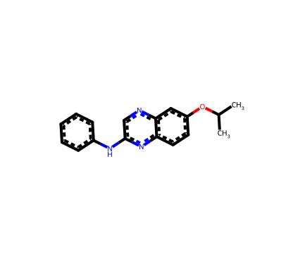 CC(C)Oc1ccc2nc(Nc3ccccc3)cnc2c1